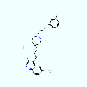 COc1cccc(SCCN2CCC(CC[C@@H](O)c3c(Cl)cnc4ccc(OC)cc34)(C(=O)O)CC2)c1